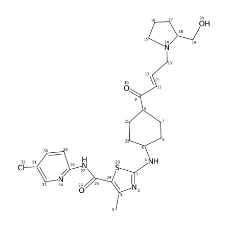 Cc1nc(NC2CCC(C(=O)/C=C/CN3CCCC3CO)CC2)sc1C(=O)Nc1ccc(Cl)cn1